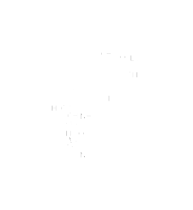 CCOc1c(C)cc(-c2cc3c(cc2F)[C@H](NC(=O)O[C@@H]2CN4CCC2CC4)C(C)(C)CC3)cc1C